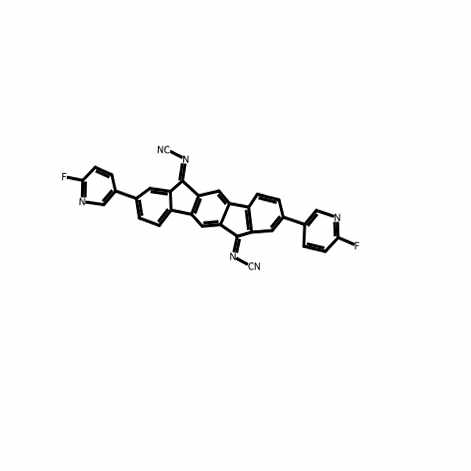 N#C/N=c1\c2cc(-c3ccc(F)nc3)ccc2c2cc3/c(=N/C#N)c4cc(-c5ccc(F)nc5)ccc4c3cc12